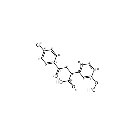 COc1cc(C(CC(=O)c2ccc(Cl)cc2)C(=O)O)ncn1